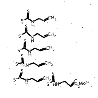 C=CCNC(=S)[S-].C=CCNC(=S)[S-].C=CCNC(=S)[S-].C=CCNC(=S)[S-].C=CCNC(=S)[S-].C=CCNC(=S)[S-].[Mo+6]